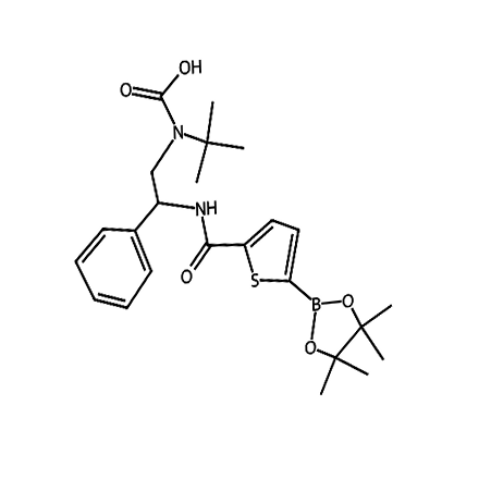 CC(C)(C)N(CC(NC(=O)c1ccc(B2OC(C)(C)C(C)(C)O2)s1)c1ccccc1)C(=O)O